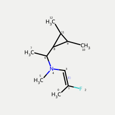 C/C(F)=C\N(C)C(C)C1C(C)C1C